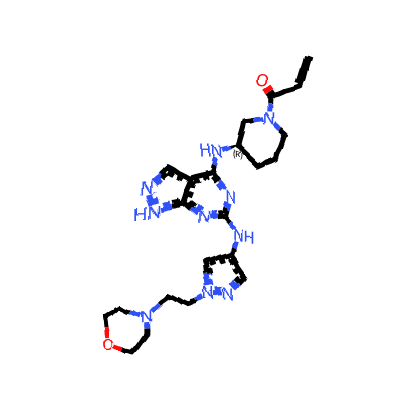 C=CC(=O)N1CCC[C@@H](Nc2nc(Nc3cnn(CCN4CCOCC4)c3)nc3[nH]ncc23)C1